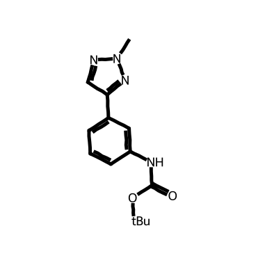 Cn1ncc(-c2cccc(NC(=O)OC(C)(C)C)c2)n1